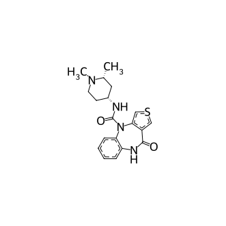 C[C@@H]1C[C@H](NC(=O)N2c3ccccc3NC(=O)c3cscc32)CCN1C